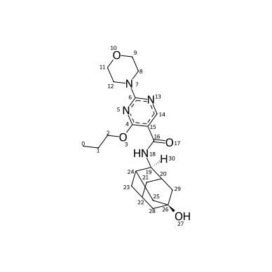 CCCOc1nc(N2CCOCC2)ncc1C(=O)N[C@H]1C2CC3CC1C[C@@](O)(C3)C2